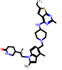 Cc1nc(NC2CCN(Cc3ccc4c(cc(C#N)n4C[C@H](C)C4CCC(=O)NC4)c3C)CC2)c2cc(CC(F)(F)F)sc2n1